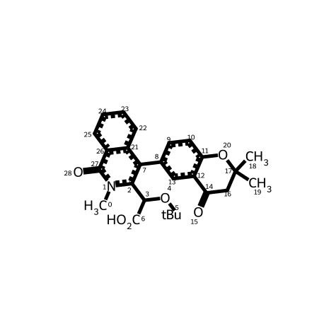 Cn1c(C(OC(C)(C)C)C(=O)O)c(-c2ccc3c(c2)C(=O)CC(C)(C)O3)c2ccccc2c1=O